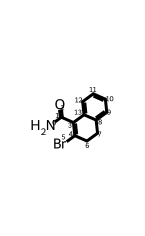 NC(=O)C1=C(Br)CCc2ccccc21